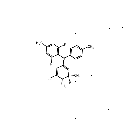 CCC1=CC(N(c2ccc(C)cc2)c2c(F)cc(C)cc2F)=CC(C)(F)C1C